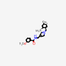 Cc1ccc(CN2CC3C(CNC(=O)c4cccc(OC(F)(F)F)c4)C3C2)c(C)c1